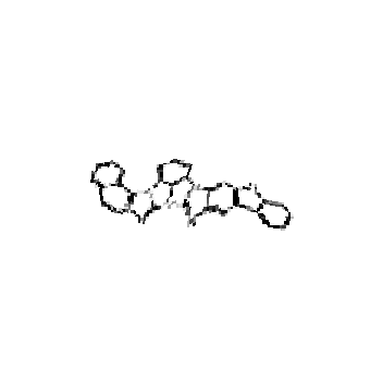 c1ccc2c(c1)ccc1nc3n(c4cccc5c4n3c3nc4cc6c(cc4n53)oc3ccccc36)c12